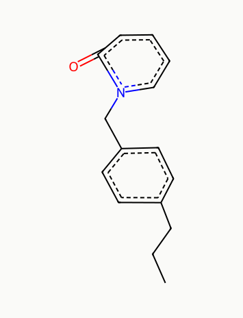 CCCc1ccc(Cn2ccccc2=O)cc1